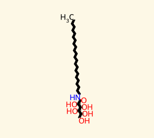 CCCCCCCCCCCCCCCCCCCCCCCCNC(=O)[C@H](O)[C@@H](O)[C@H](O)[C@H](O)CO